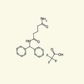 NC(=O)CCCC(=O)NC(c1ccccc1)c1ccccc1.O=C(O)C(F)(F)F